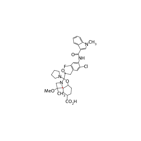 COC1(C)CN(C(OC2CCC(C(=O)O)CC2)(C(=O)Cc2cc(Cl)c(NC(=O)c3cn(C)c4ccccc34)cc2F)N2CCCC2)C1